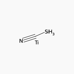 N#C[SiH3].[Ti]